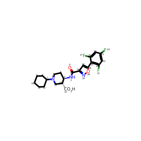 O=C(N[C@@H]1CCN(C2CCCCC2)C[C@H]1C(=O)O)c1cc(-c2c(F)cc(F)cc2F)on1